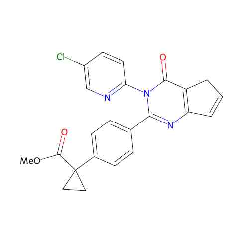 COC(=O)C1(c2ccc(-c3nc4c(c(=O)n3-c3ccc(Cl)cn3)CC=C4)cc2)CC1